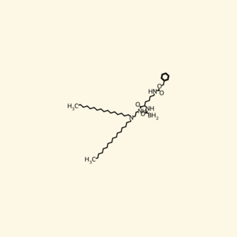 BC(=O)NC(CCCCNC(=O)OCc1ccccc1)C(=O)NCCN(CCCCCCCCCCCCCCCC)CCCCCCCCCCCCCCCC